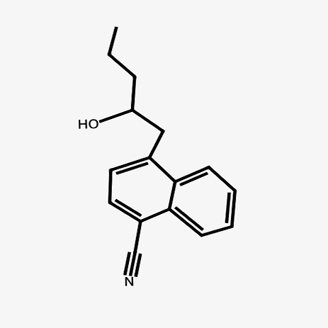 CCCC(O)Cc1ccc(C#N)c2ccccc12